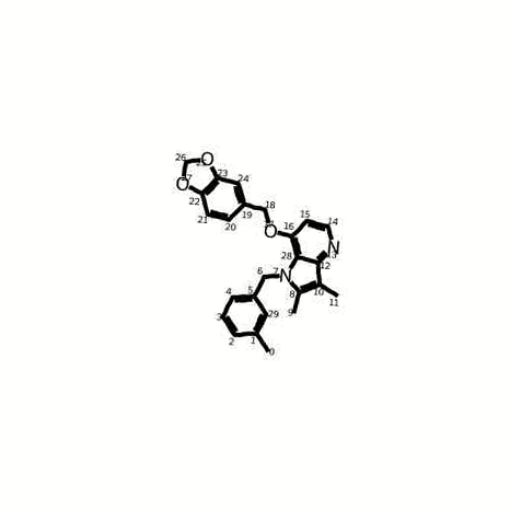 Cc1cccc(Cn2c(C)c(C)c3nccc(OCc4ccc5c(c4)OCO5)c32)c1